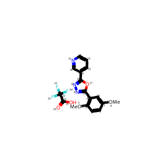 COc1ccc(OC)c(-c2nnc(-c3cccnc3)o2)c1.O=C(O)C(F)(F)F